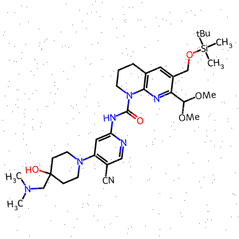 COC(OC)c1nc2c(cc1CO[Si](C)(C)C(C)(C)C)CCCN2C(=O)Nc1cc(N2CCC(O)(CN(C)C)CC2)c(C#N)cn1